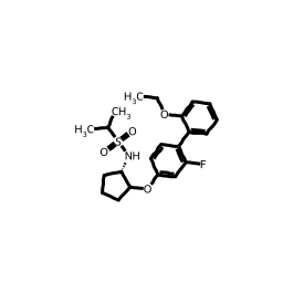 CCOc1ccccc1-c1ccc(OC2CCC[C@@H]2NS(=O)(=O)C(C)C)cc1F